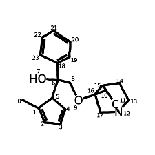 CC1=CC=CC1C(O)(COC1CN2CCC1CC2)c1ccccc1